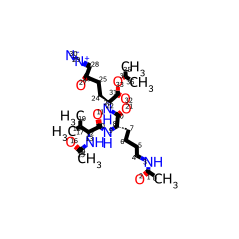 CC(=O)NCCCC[C@H](NC(=O)[C@@H](NC(C)=O)C(C)C)C(=O)N[C@@H](CCC(=O)C=[N+]=[N-])C(=O)OC(C)C